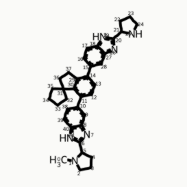 CN1CCCC1c1nc2cc(-c3ccc(-c4ccc5[nH]c(C6CCCN6)nc5c4)c4c3C3(CCCC3)CC4)ccc2[nH]1